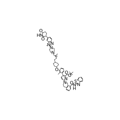 Cc1c(OC2CCC(CC[C@H](C)CN3CCN(c4nc5ccc(C6CCC(=O)NC6=O)cc5n4C)CC3)CC2)cccc1-c1ccc(N2CCc3cccc(C(=O)Nc4nc5ccccc5s4)c3C2)nc1C(=O)OC(C)(C)C